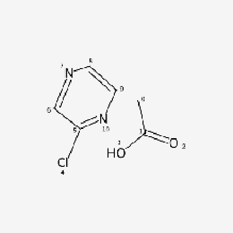 CC(=O)O.Clc1cnccn1